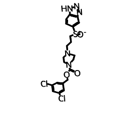 O=C(OCc1cc(Cl)cc(Cl)c1)N1CCN(CCC[S+]([O-])c2ccc3[nH]nnc3c2)CC1